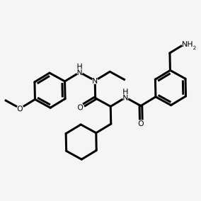 CCN(Nc1ccc(OC)cc1)C(=O)C(CC1CCCCC1)NC(=O)c1cccc(CN)c1